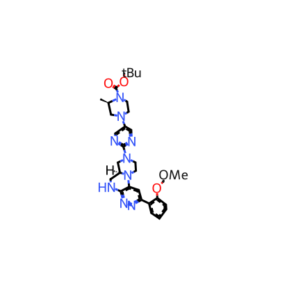 COCOc1ccccc1-c1cc2c(nn1)NC[C@H]1CN(c3ncc(N4CCN(C(=O)OC(C)(C)C)[C@H](C)C4)cn3)CCN21